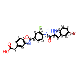 O=C(O)Cc1ccc2oc(-c3ccc(NC(=O)c4cc5cc(Br)ccc5[nH]4)c(F)c3)nc2c1